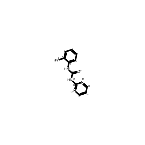 CC(C)c1ccccc1NC(=O)Nc1ncccn1